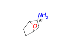 N[C@@H]1CC2CCC1O2